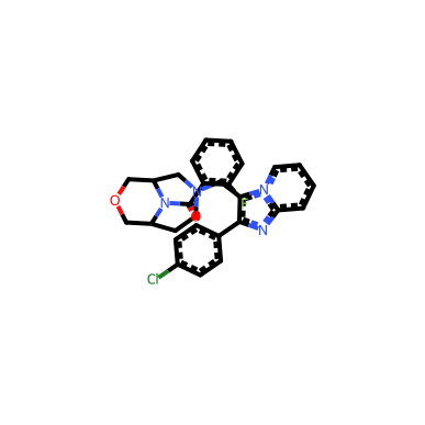 O=C(c1ccccc1F)N1C2CCN(Cc3c(-c4ccc(Cl)cc4)nc4ccccn34)CC1COC2